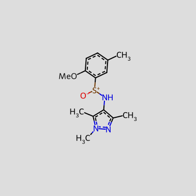 COc1ccc(C)cc1[S+]([O-])Nc1c(C)nn(C)c1C